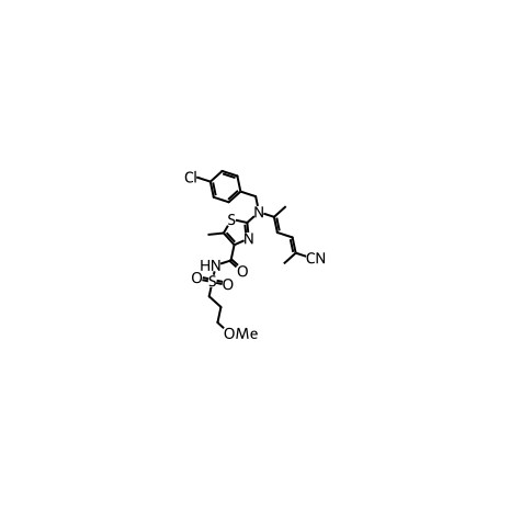 COCCCS(=O)(=O)NC(=O)c1nc(N(Cc2ccc(Cl)cc2)/C(C)=C/C=C(\C)C#N)sc1C